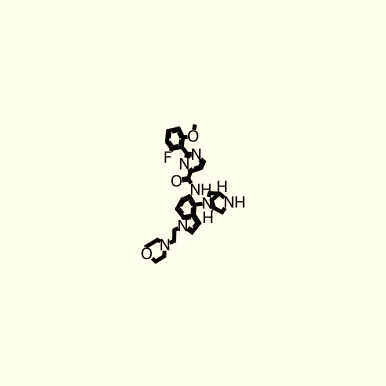 COc1cccc(F)c1-c1nccc(C(=O)Nc2ccc3c(ccn3CCN3CCOCC3)c2N2C[C@@H]3C[C@H]2CN3)n1